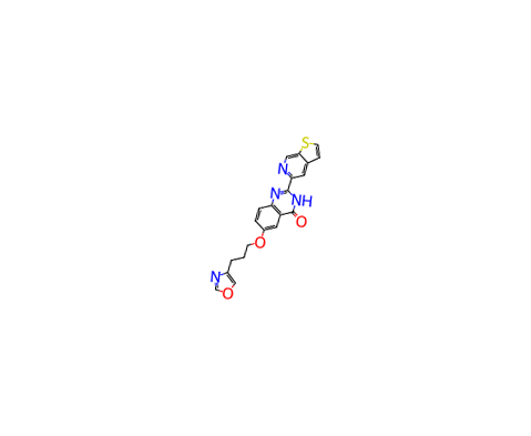 O=c1[nH]c(-c2cc3ccsc3cn2)nc2ccc(OCCCc3cocn3)cc12